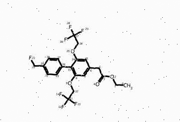 CCOC(=O)Cc1cc(OCC(F)(F)F)c(-c2ccc(CF)cc2)c(OCC(F)(F)F)c1